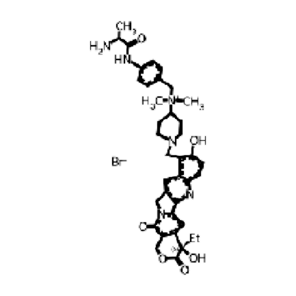 CC[C@@]1(O)C(=O)OCc2c1cc1n(c2=O)Cc2cc3c(CN4CCC([N+](C)(C)Cc5ccc(NC(=O)C(C)N)cc5)CC4)c(O)ccc3nc2-1.[Br-]